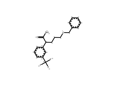 NC(=O)C(CCCOCc1ccccc1)c1cccc(C(F)(F)F)c1